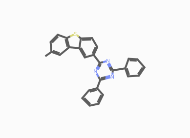 Cc1ccc2sc3ccc(-c4nc(-c5ccccc5)nc(-c5ccccc5)n4)cc3c2c1